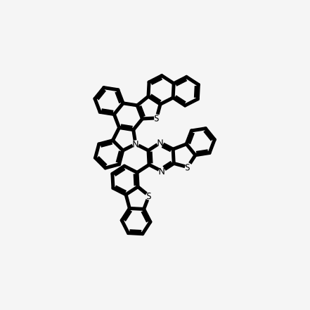 c1ccc2c(c1)ccc1c2sc2c1c1ccccc1c1c3ccccc3n(-c3nc4c(nc3-c3cccc5c3sc3ccccc35)sc3ccccc34)c21